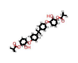 C=C(C)C(=O)Oc1cccc(Oc2ccc(C(C)(C)c3ccc(Oc4cccc(OC(=O)C(=C)C)c4O)cc3)cc2)c1O